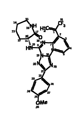 C=C(c1cccc2c1nc(N[C@@H]1CCCCNC1=O)n1nc(-c3ccc(OC)cc3)nc21)C(F)(F)F